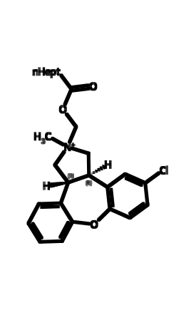 CCCCCCCC(=O)OC[N+]1(C)C[C@H]2c3ccccc3Oc3ccc(Cl)cc3[C@@H]2C1